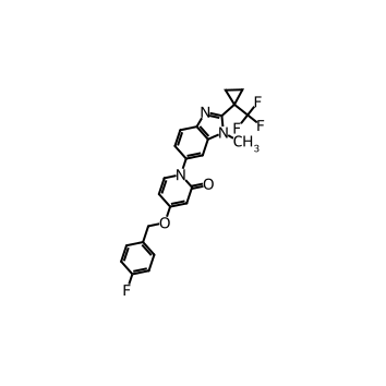 Cn1c(C2(C(F)(F)F)CC2)nc2ccc(-n3ccc(OCc4ccc(F)cc4)cc3=O)cc21